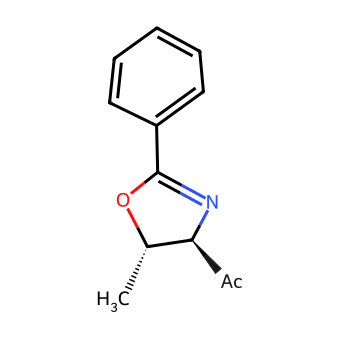 CC(=O)[C@@H]1N=C(c2ccccc2)O[C@H]1C